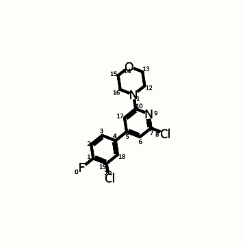 Fc1ccc(-c2cc(Cl)nc(N3CCOCC3)c2)cc1Cl